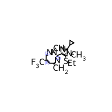 C=C1/C=C(C(F)(F)F)\C=N/N(C)/C(c2nc(C3CC3)n(C)c2SCC)=N\1